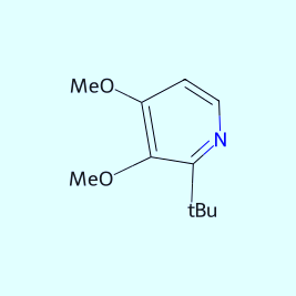 COc1ccnc(C(C)(C)C)c1OC